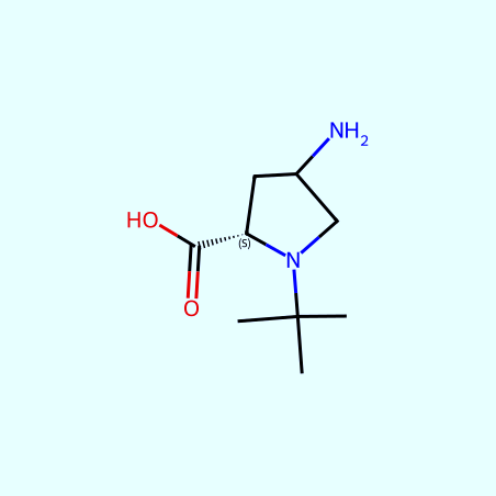 CC(C)(C)N1CC(N)C[C@H]1C(=O)O